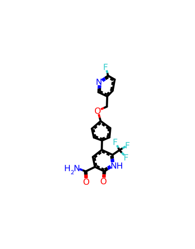 NC(=O)c1cc(-c2ccc(OCc3ccc(F)nc3)cc2)c(C(F)(F)F)[nH]c1=O